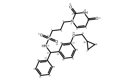 O=c1ccn(CCCS(=O)(=O)NC(c2ccccc2)c2cccc(OCC3CC3)c2)c(=O)[nH]1